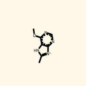 COc1ncnc2c1NC(C)=[N+]2